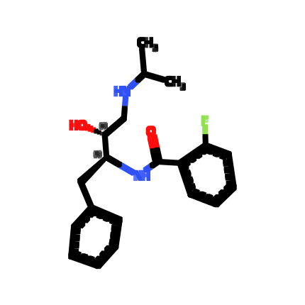 CC(C)NC[C@@H](O)[C@H](Cc1ccccc1)NC(=O)c1ccccc1F